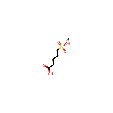 O=C(O)CCCCS(=O)(=O)O.[LiH]